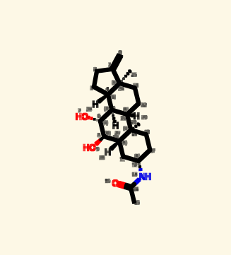 C=C1CC[C@H]2[C@@H]3[C@@H](O)[C@H](O)[C@H]4C[C@@H](NC(C)=O)CC[C@]4(C)[C@H]3CC[C@]12C